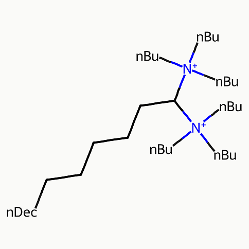 CCCCCCCCCCCCCCCC([N+](CCCC)(CCCC)CCCC)[N+](CCCC)(CCCC)CCCC